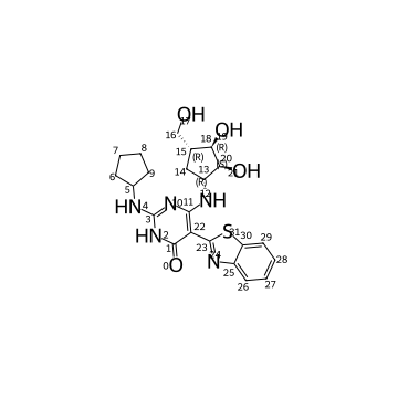 O=c1[nH]c(NC2CCCC2)nc(N[C@@H]2C[C@H](CO)[C@@H](O)[C@H]2O)c1-c1nc2ccccc2s1